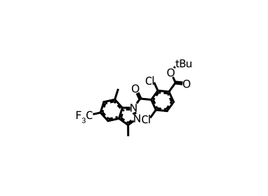 Cc1nn(C(=O)c2c(Cl)ccc(C(=O)OC(C)(C)C)c2Cl)c2c(C)cc(C(F)(F)F)cc12